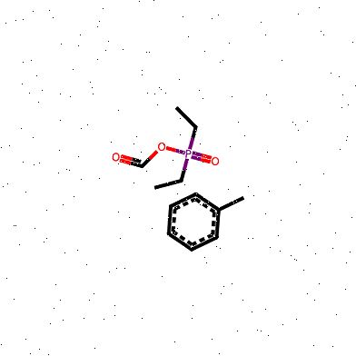 CCP(=O)(CC)OC=O.Cc1ccccc1